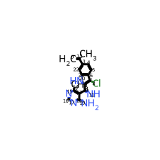 C=C(C)c1ccc2c(Cl)c(C(=N)c3c(C)ncnc3N)[nH]c2c1